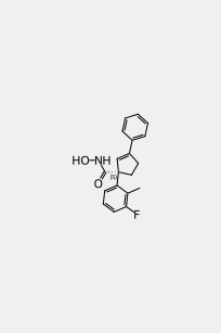 Cc1c(F)cccc1[C@@]1(C(=O)NO)C=C(c2ccccc2)CC1